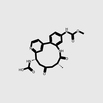 COC(=O)Nc1ccc2c(c1)NC(=O)[C@H](C)CC(=O)C[C@H](NC(=O)O)c1cc-2ccn1